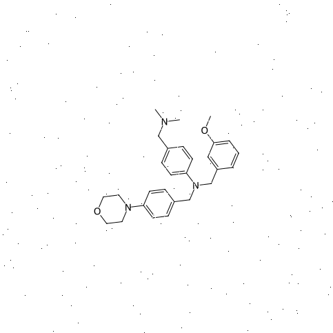 COc1cccc(CN(Cc2ccc(N3CCOCC3)cc2)c2ccc(CN(C)C)cc2)c1